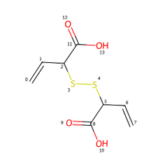 C=CC(SSC(C=C)C(=O)O)C(=O)O